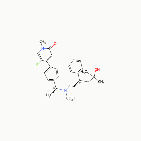 C[C@@H](c1ccc(-c2cc(=O)n(C)cc2F)cc1)N(CC[C@H](CC(C)(C)O)c1ccccc1)C(=O)O